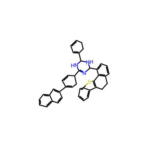 C1=CCCC(C2NC(C3C=CC(c4ccc5ccccc5c4)=CC3)=NC(c3cccc4c3-c3sc5ccccc5c3CC4)N2)=C1